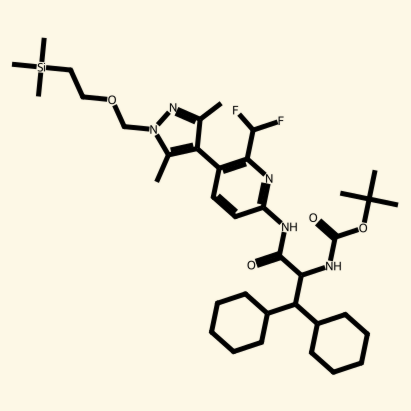 Cc1nn(COCC[Si](C)(C)C)c(C)c1-c1ccc(NC(=O)C(NC(=O)OC(C)(C)C)C(C2CCCCC2)C2CCCCC2)nc1C(F)F